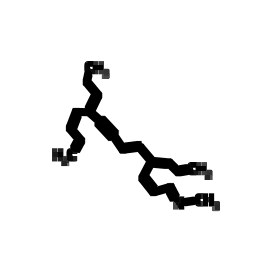 C=C/C=C\C(C#CC=CC(/C=C\C=N\C)=C/C=C)=C/CC